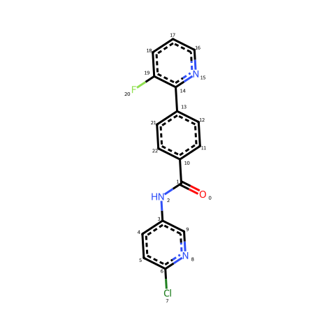 O=C(Nc1ccc(Cl)nc1)c1ccc(-c2ncccc2F)cc1